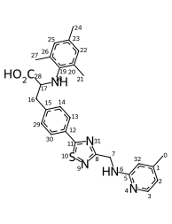 Cc1ccnc(NCc2nsc(-c3ccc(CC(Nc4c(C)cc(C)cc4C)C(=O)O)cc3)n2)c1